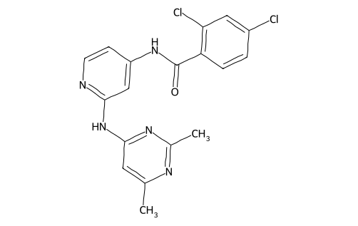 Cc1cc(Nc2cc(NC(=O)c3ccc(Cl)cc3Cl)ccn2)nc(C)n1